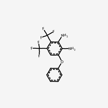 Nc1c(Oc2ccccc2)cc(C(F)(F)F)c(C(F)(F)F)c1N